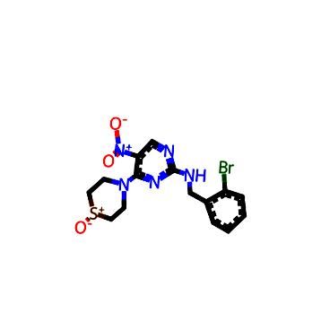 O=[N+]([O-])c1cnc(NCc2ccccc2Br)nc1N1CC[S+]([O-])CC1